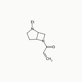 C=CC(=O)N1CC2C1CCN2CC